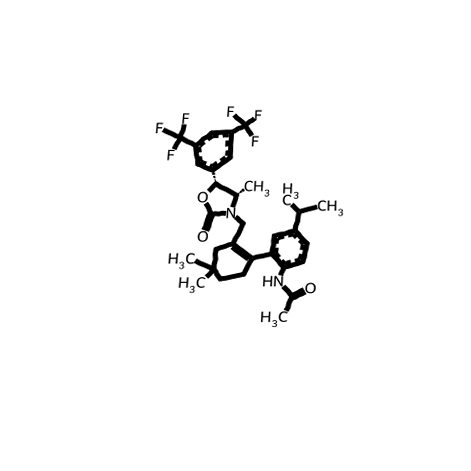 CC(=O)Nc1ccc(C(C)C)cc1C1=C(CN2C(=O)O[C@H](c3cc(C(F)(F)F)cc(C(F)(F)F)c3)[C@@H]2C)CC(C)(C)CC1